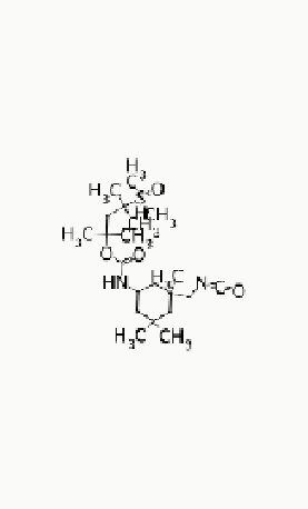 CC1(C)CC(NC(=O)OC(C)(C)CC(C)(C)[SH](C)(C)=O)CC(C)(CN=C=O)C1